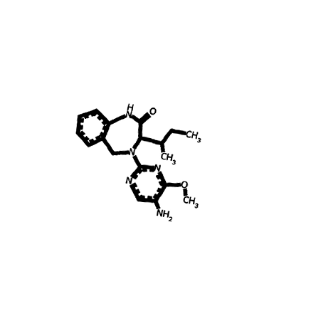 CCC(C)C1C(=O)Nc2ccccc2CN1c1ncc(N)c(OC)n1